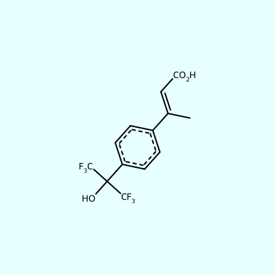 CC(=CC(=O)O)c1ccc(C(O)(C(F)(F)F)C(F)(F)F)cc1